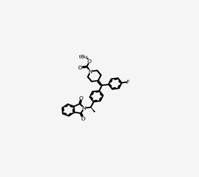 C[C@H](c1ccc(C(=C2CCN(C(=O)OC(C)(C)C)CC2)c2ccc(F)cc2)cc1)N1C(=O)c2ccccc2C1=O